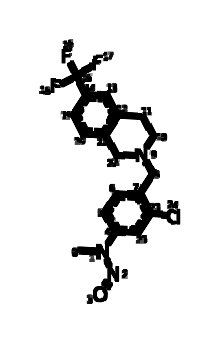 CN(N=O)c1ccc(CN2CCc3cc(C(F)(F)F)ccc3C2)c(Cl)c1